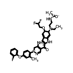 CCN(CCN[S+](C)[O-])C1C=c2[nH]c(C(=O)C3=C(N)CN(c4ccc(Oc5ccccc5F)cc4C)N=C3)cc2=CC1OCC(F)F